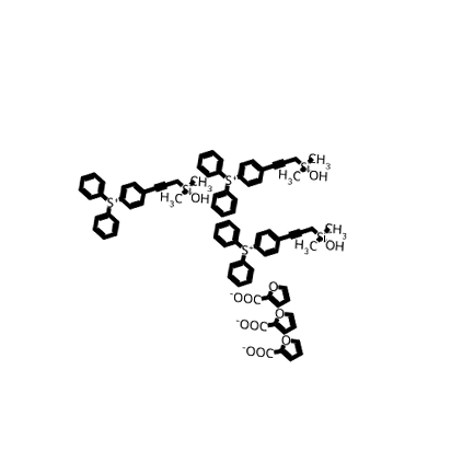 C[Si](C)(O)CC#Cc1ccc([S+](c2ccccc2)c2ccccc2)cc1.C[Si](C)(O)CC#Cc1ccc([S+](c2ccccc2)c2ccccc2)cc1.C[Si](C)(O)CC#Cc1ccc([S+](c2ccccc2)c2ccccc2)cc1.O=C([O-])c1ccco1.O=C([O-])c1ccco1.O=C([O-])c1ccco1